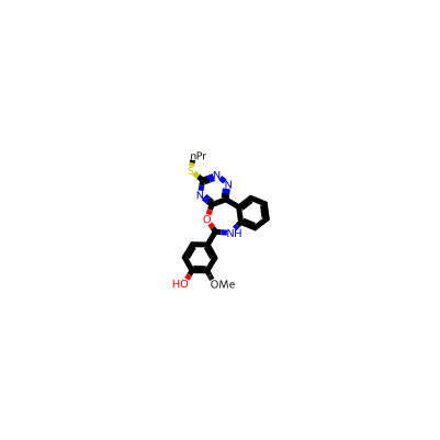 CCCSc1nnc2c(n1)OC(c1ccc(O)c(OC)c1)Nc1ccccc1-2